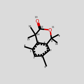 Cc1cc(C)c2c(c1)C(C)(C)OC(=O)C2(C)C